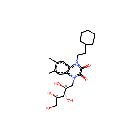 Cc1cc2c(cc1C)n(C[C@H](O)[C@H](O)[C@H](O)CO)c(=O)c(=O)n2CCC1CCCCC1